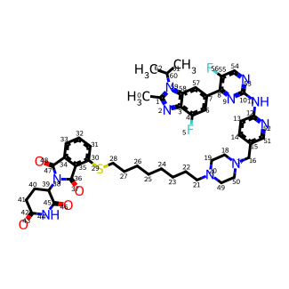 Cc1nc2c(F)cc(-c3nc(Nc4ccc(CN5CCN(CCCCCCCCSc6cccc7c6C(=O)N(C6CCC(=O)NC6=O)C7=O)CC5)cn4)ncc3F)cc2n1C(C)C